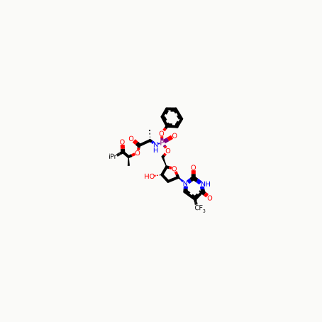 CC(C)C(=O)[C@H](C)OC(=O)[C@H](C)N[P@](=O)(OC[C@H]1O[C@@H](n2cc(C(F)(F)F)c(=O)[nH]c2=O)C[C@@H]1O)Oc1ccccc1